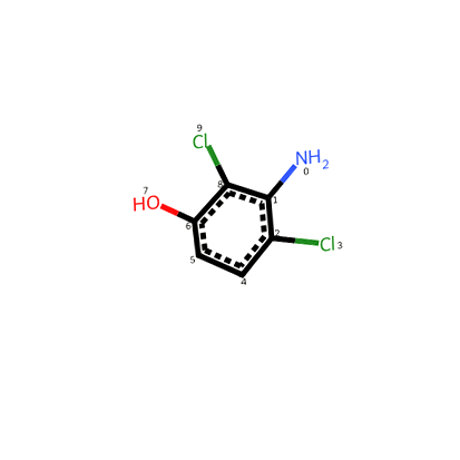 Nc1c(Cl)ccc(O)c1Cl